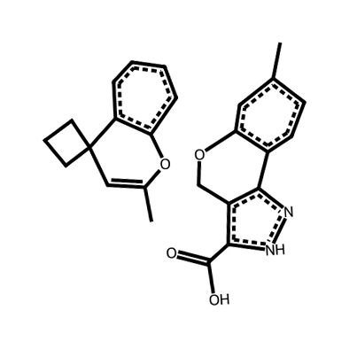 CC1=CC2(CCC2)c2ccccc2O1.Cc1ccc2c(c1)OCc1c-2n[nH]c1C(=O)O